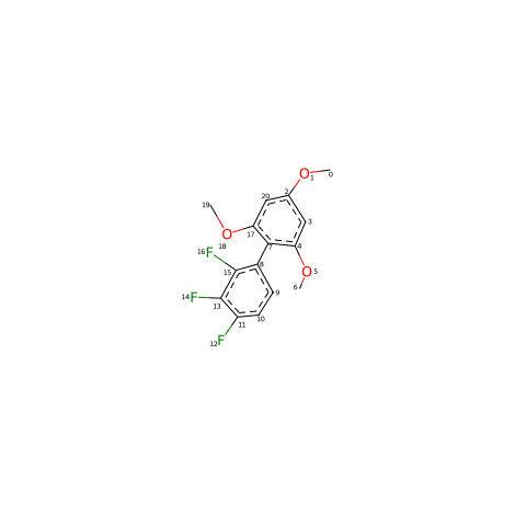 COc1cc(OC)c(-c2ccc(F)c(F)c2F)c(OC)c1